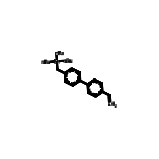 C=Cc1ccc(-c2ccc([CH2][Sn]([CH2]CCC)([CH2]CCC)[CH2]CCC)cc2)cc1